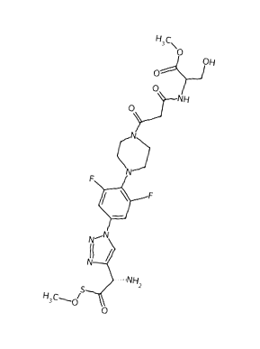 COSC(=O)[C@@H](N)c1cn(-c2cc(F)c(N3CCN(C(=O)CC(=O)NC(CO)C(=O)OC)CC3)c(F)c2)nn1